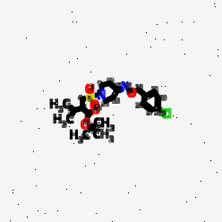 CC(C)C(CS(=O)(=O)N1CCC(=NOCc2ccc(Cl)cc2)CC1)C(=O)OC(C)(C)C